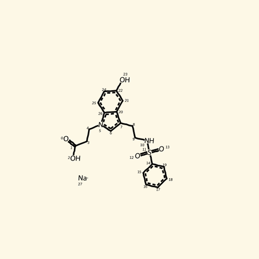 O=C(O)CCn1cc(CCNS(=O)(=O)c2ccccc2)c2cc(O)ccc21.[Na]